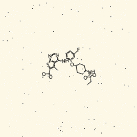 CCS(=O)(=O)NC1CCC(Oc2cc(F)ccc2Nc2ncnc3sc(C(=O)OC)c(C)c23)CC1